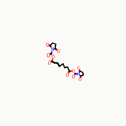 O=C(CCCCCCC(=O)OC(=O)N1C(=O)CCC1=O)OC(=O)N1C(=O)CCC1=O